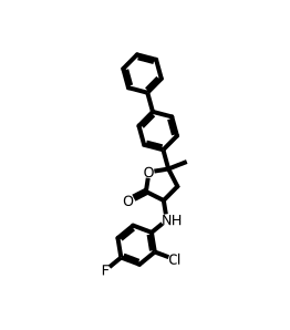 CC1(c2ccc(-c3ccccc3)cc2)CC(Nc2ccc(F)cc2Cl)C(=O)O1